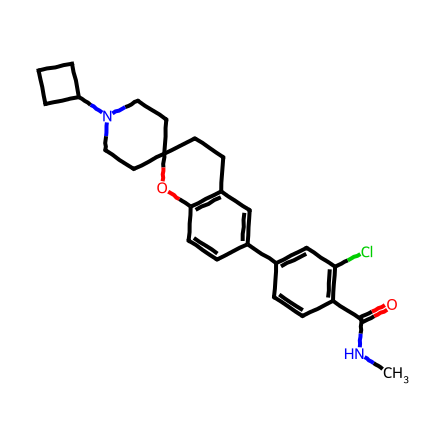 CNC(=O)c1ccc(-c2ccc3c(c2)CCC2(CCN(C4CCC4)CC2)O3)cc1Cl